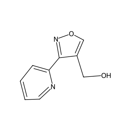 OCc1conc1-c1ccccn1